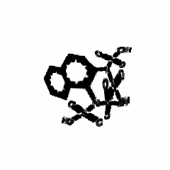 O=S(=O)(O)N(c1ccc2ccccc2c1N(S(=O)(=O)O)S(=O)(=O)O)S(=O)(=O)O